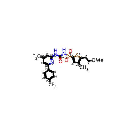 COCCc1sc(S(=O)(=O)NC(=O)Nc2cc(C(F)(F)F)cc(-c3ccc(C(F)(F)F)cc3)n2)cc1C